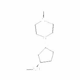 CN[C@@H]1CC[C@@H](N2CCN(C)CC2)C1